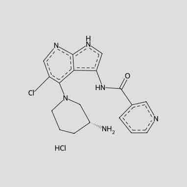 Cl.N[C@@H]1CCCN(c2c(Cl)cnc3[nH]cc(NC(=O)c4cccnc4)c23)C1